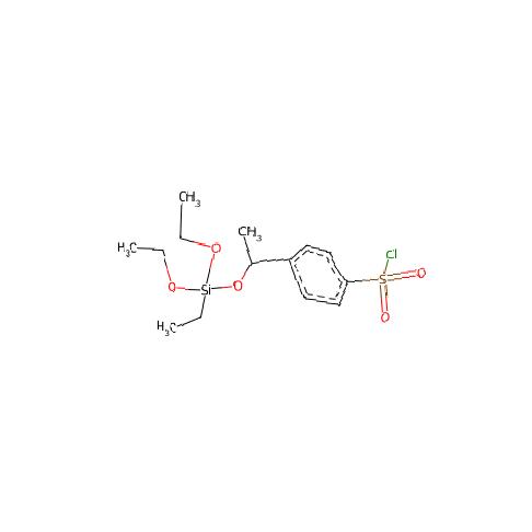 CCO[Si](CC)(OCC)OC(C)c1ccc(S(=O)(=O)Cl)cc1